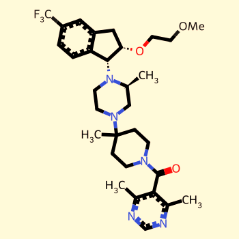 COCCO[C@H]1Cc2cc(C(F)(F)F)ccc2[C@H]1N1CCN(C2(C)CCN(C(=O)c3c(C)ncnc3C)CC2)C[C@@H]1C